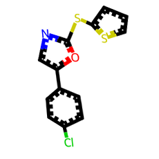 Clc1ccc(-c2cnc(Sc3cccs3)o2)cc1